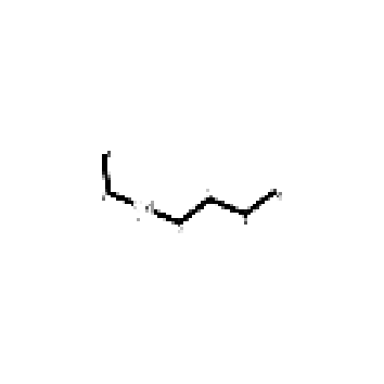 CCC[CH2][Cd][CH2]C